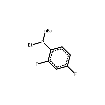 CCCCP(CC)c1ccc(F)cc1F